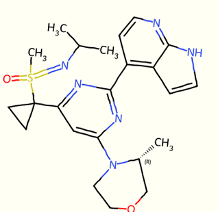 CC(C)N=S(C)(=O)C1(c2cc(N3CCOC[C@H]3C)nc(-c3ccnc4[nH]ccc34)n2)CC1